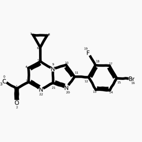 CC(=O)c1cc(C2CC2)n2cc(-c3ccc(Br)cc3F)nc2n1